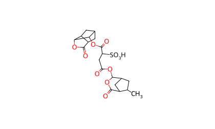 CC1CC2CC1C(=O)OC2OC(=O)CC(C(=O)OC1C2CC3C(=O)OC1C3C2)S(=O)(=O)O